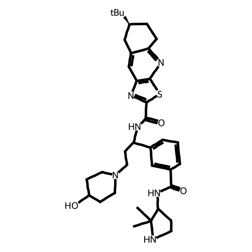 CC1(C)NCCC1NC(=O)c1cccc(C(CCN2CCC(O)CC2)NC(=O)c2nc3cc4c(nc3s2)CC[C@H](C(C)(C)C)C4)c1